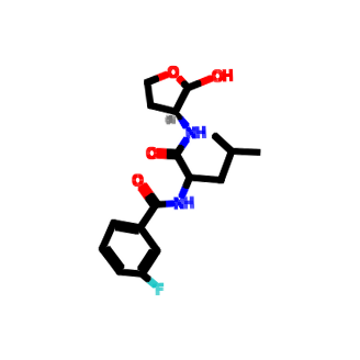 CC(C)CC(NC(=O)c1cccc(F)c1)C(=O)N[C@H]1CCOC1O